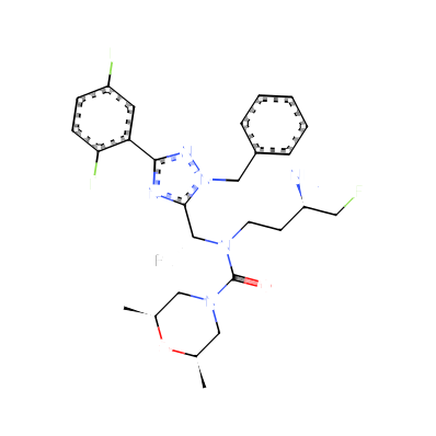 C[C@@H]1CN(C(=O)N(CC[C@@H](N)CF)[C@@H](c2nc(-c3cc(F)ccc3F)nn2Cc2ccccc2)C(C)(C)C)C[C@H](C)O1